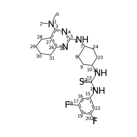 CN(C)c1nc(NC2CCC(NC(=S)Nc3cc(F)cc(F)c3)CC2)nc2c1CCCC2